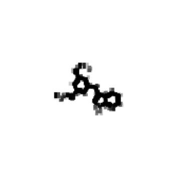 COc1cc(Cc2c[nH]c3ncccc23)cc(OC)c1